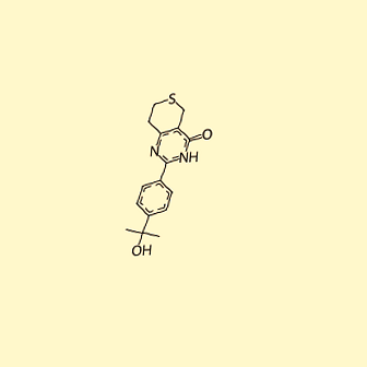 CC(C)(O)c1ccc(-c2nc3c(c(=O)[nH]2)CSCC3)cc1